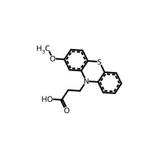 COc1ccc2c(c1)N(CCC(=O)O)c1ccccc1S2